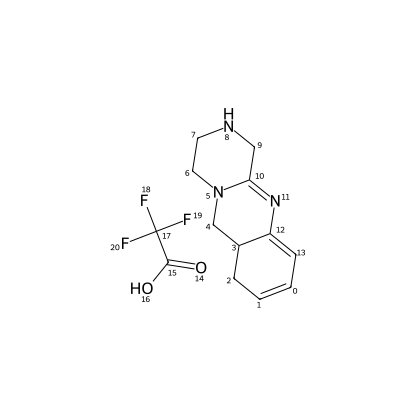 C1=CCC2CN3CCNCC3=NC2=C1.O=C(O)C(F)(F)F